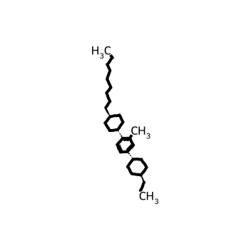 CCCCCCCCC[C@H]1CC[C@H](c2ccc([C@H]3CC[C@H](CCC)CC3)cc2C)CC1